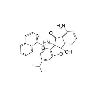 CC(C)c1ccc2c(c1)OC1(O)c3cccc(N)c3C(=O)C21NC(=O)c1nccc2ccccc12